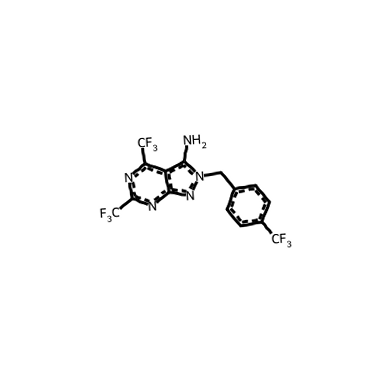 Nc1c2c(C(F)(F)F)nc(C(F)(F)F)nc2nn1Cc1ccc(C(F)(F)F)cc1